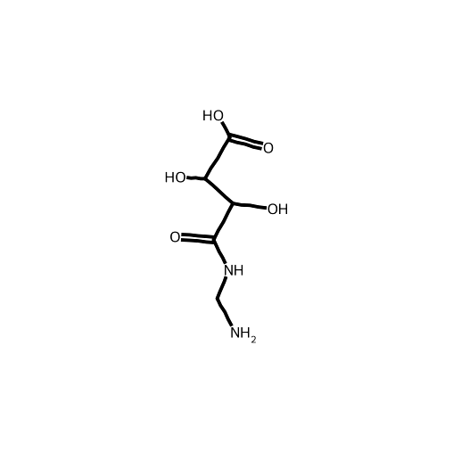 NCNC(=O)C(O)C(O)C(=O)O